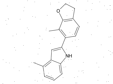 Cc1c(-c2cc3c(C)cccc3[nH]2)ccc2c1OCC2